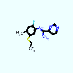 Cc1cc(F)c(/N=C(\N)c2ccncn2)cc1SCC(F)(F)F